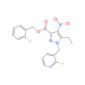 CCc1c([N+](=O)[O-])c(C(=O)OCc2ccccc2F)nn1Cc1ccccc1F